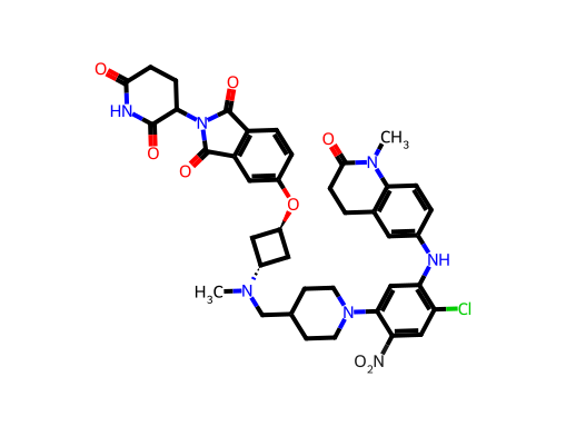 CN1C(=O)CCc2cc(Nc3cc(N4CCC(CN(C)[C@H]5C[C@H](Oc6ccc7c(c6)C(=O)N(C6CCC(=O)NC6=O)C7=O)C5)CC4)c([N+](=O)[O-])cc3Cl)ccc21